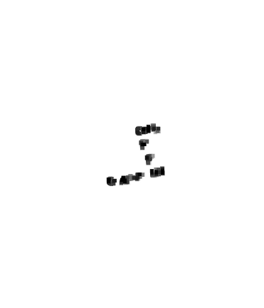 [Al+3].[CaH2].[Cr].[F-].[F-].[F-].[LiH]